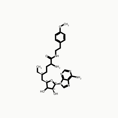 CC[C@@H](CCC(N)C(=O)NCCc1ccc(OC)cc1)C[C@H]1O[C@@H](n2cnc3c(N)ncnc32)[C@@H](O)C1O